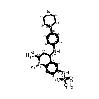 CC(=O)N1c2ccc(NS(C)(=O)=O)cc2C(Nc2ccc(N3CCOCC3)cc2)CC1C